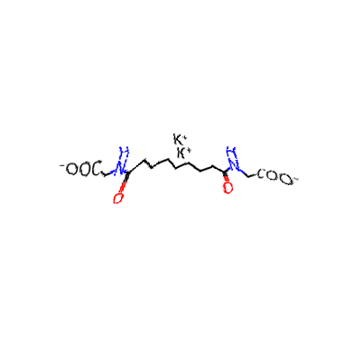 O=C([O-])CNC(=O)CCCCCCCC(=O)NCC(=O)[O-].[K+].[K+]